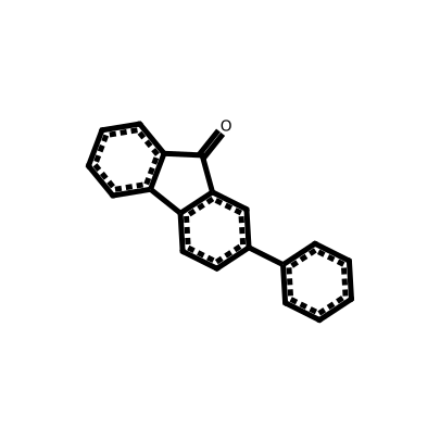 O=C1c2ccccc2-c2ccc(-c3ccccc3)cc21